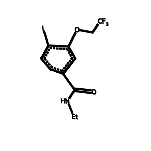 CCNC(=O)c1ccc(I)c(OCC(F)(F)F)c1